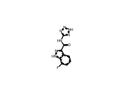 O=C(Nc1nn[nH]n1)c1n[nH]c2c(F)cccc12